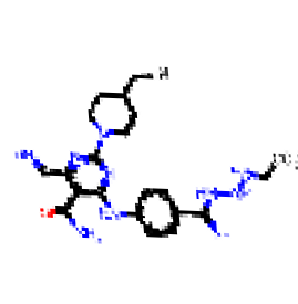 N#CCC1CCN(c2nc(C=N)c(C(N)=O)c(Nc3ccc(C(=N)NNNCC(=O)O)cc3)n2)CC1